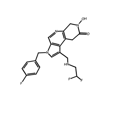 O=C1Cc2c(ncc3c2c(CNCC(F)F)cn3Cc2ccc(F)cc2)CN1O